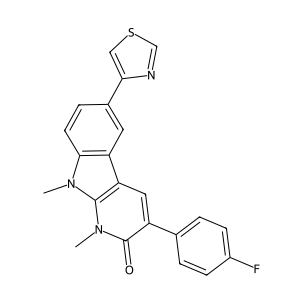 Cn1c(=O)c(-c2ccc(F)cc2)cc2c3cc(-c4cscn4)ccc3n(C)c21